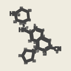 N#Cc1cc2cnc(N[C@H]3CCCNC3)cc2c(N2CCCC2)n1